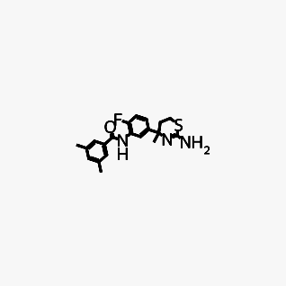 Cc1cc(C)cc(C(=O)Nc2cc(C3(C)CCSC(N)=N3)ccc2F)c1